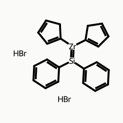 Br.Br.C1=CC[C]([Zr]([C]2=CC=CC2)=[Si](c2ccccc2)c2ccccc2)=C1